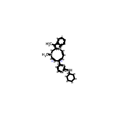 Cc1c2n(c3ccccc13)C=C/C=C(c1ccnc(NC3CCCCC3)n1)\C=C/N(C)C2